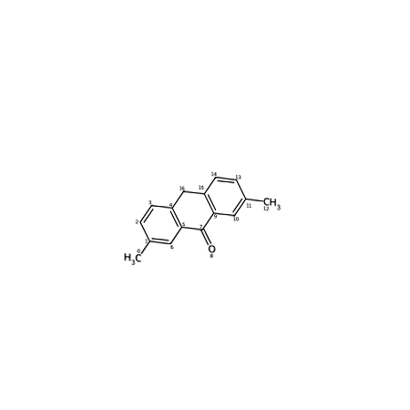 Cc1ccc2c(c1)C(=O)c1cc(C)ccc1C2